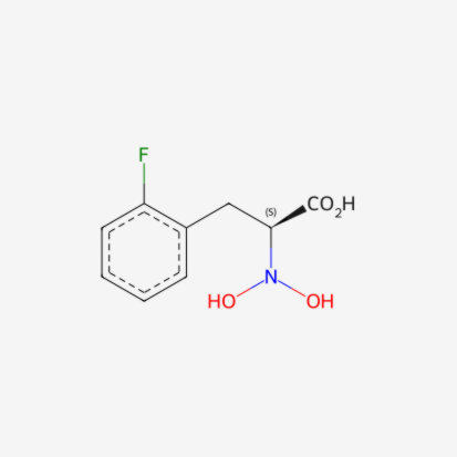 O=C(O)[C@H](Cc1ccccc1F)N(O)O